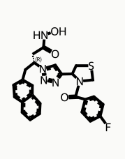 O=C(C[C@@H](Cc1ccc2ccccc2c1)n1cc(C2CSCN2C(=O)c2ccc(F)cc2)nn1)NO